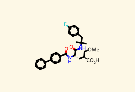 COC[C@H](C[C@H](NC(=O)c1ccc(-c2ccccc2)cc1)C(=O)NC(C)(C)Cc1ccc(F)cc1)C(=O)O